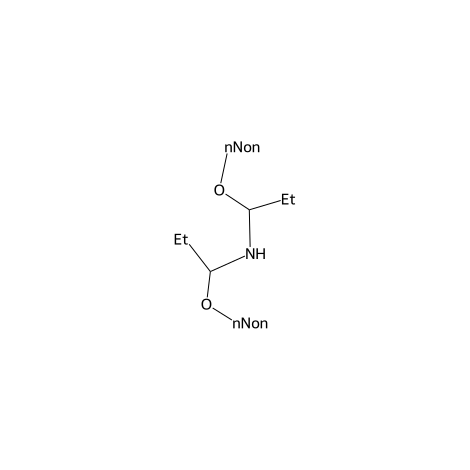 CCCCCCCCCOC(CC)NC(CC)OCCCCCCCCC